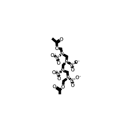 CC(=O)OCN(CN(CN(CN(COC(C)=O)[N+](=O)[O-])[N+](=O)[O-])[N+](=O)[O-])[N+](=O)[O-]